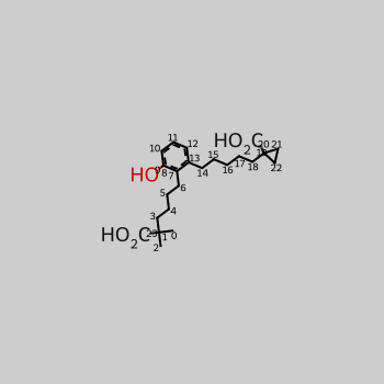 CC(C)(CCCCc1c(O)cccc1CCCCCC1(C(=O)O)CC1)C(=O)O